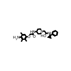 Cc1cc(OCC(=O)NC2CCN(CC(O)NC3(c4ccccc4)CC3)CC2)c(C)c(C)c1N